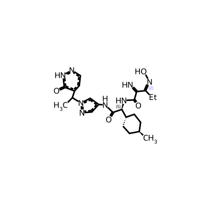 CC/C(=N/O)C(=N)C(=O)N[C@H](C(=O)Nc1cnn(C(C)c2ccn[nH]c2=O)c1)[C@H]1CC[C@H](C)CC1